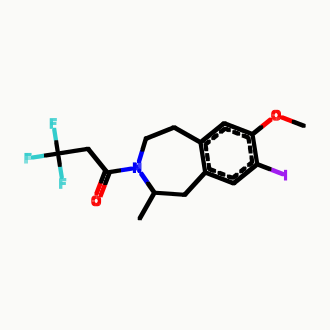 COc1cc2c(cc1I)CC(C)N(C(=O)CC(F)(F)F)CC2